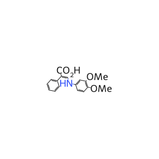 COc1ccc(NC=C(C(=O)O)c2ccccc2)cc1OC